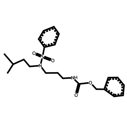 CC(C)CCN(CCCNC(=O)OCc1ccccc1)S(=O)(=O)c1ccccc1